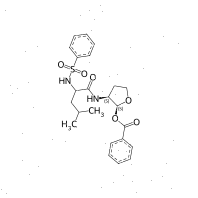 CC(C)CC(NS(=O)(=O)c1ccccc1)C(=O)N[C@H]1CCO[C@H]1OC(=O)c1ccccc1